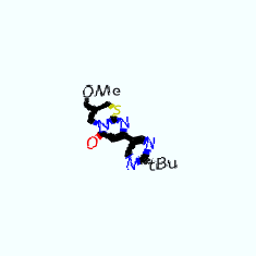 COCC1CSc2nc(-c3cnc(C(C)(C)C)nc3)cc(=O)n2C1